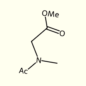 COC(=O)CN(C)C(C)=O